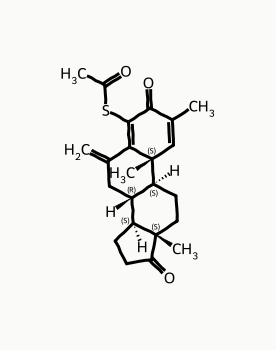 C=C1C[C@@H]2[C@H](CC[C@]3(C)C(=O)CC[C@@H]23)[C@@]2(C)C=C(C)C(=O)C(SC(C)=O)=C12